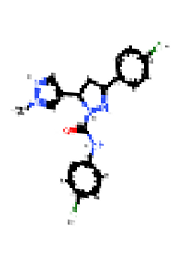 Cn1cc(C2CC(c3ccc(Cl)cc3)=NN2C(=O)Nc2ccc(Cl)cc2)cn1